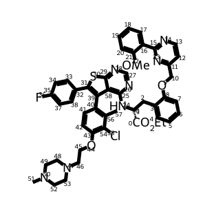 CCOC(=O)[C@@H](Cc1ccccc1OCc1ccnc(-c2ccccc2OC)n1)Nc1ncnc2sc(-c3ccc(F)cc3)c(-c3ccc(OCCN4CCN(C)CC4)c(Cl)c3C)c12